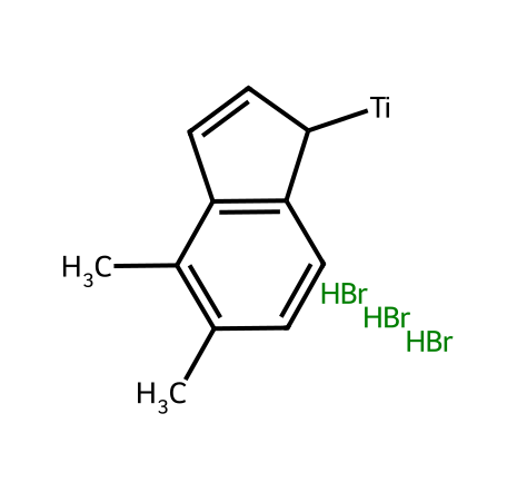 Br.Br.Br.Cc1ccc2c(c1C)C=C[CH]2[Ti]